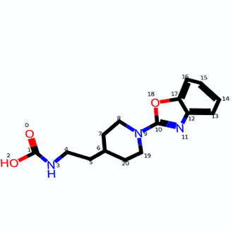 O=C(O)NCCC1CCN(c2nc3ccccc3o2)CC1